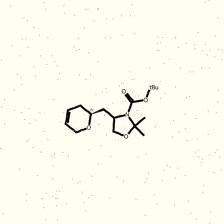 CC(C)(C)OC(=O)N1C(C[C@@H]2CC=CCO2)COC1(C)C